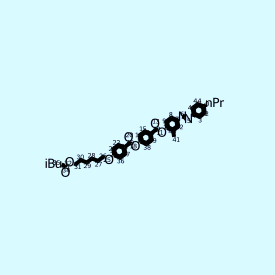 CCCc1ccc(/N=N/c2ccc(OC(=O)c3ccc(OC(=O)c4ccc(OCCCCCCOC(=O)C(C)CC)cc4)cc3)c(C)c2)cc1